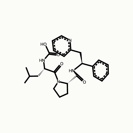 CC(C)C[C@H](NC(=O)O)C(=O)N1CCC[C@H]1C(=O)N[C@@H](Cc1ccccn1)c1ccccc1